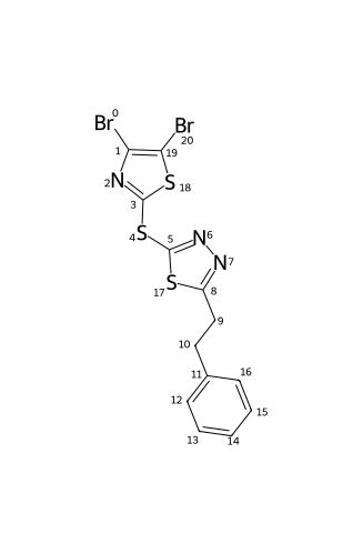 Brc1nc(Sc2nnc(CCc3ccccc3)s2)sc1Br